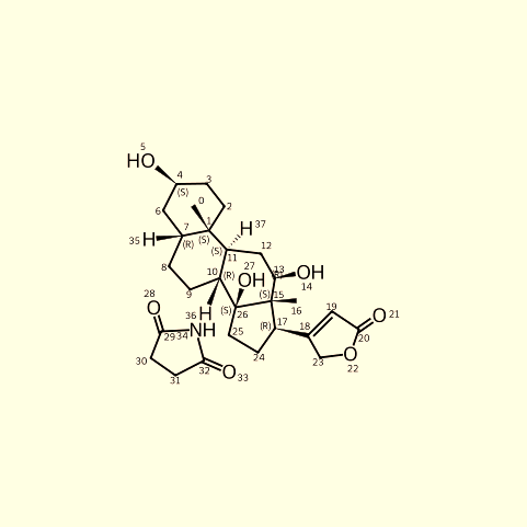 C[C@]12CC[C@H](O)C[C@H]1CC[C@@H]1[C@@H]2C[C@@H](O)[C@]2(C)[C@@H](C3=CC(=O)OC3)CC[C@]12O.O=C1CCC(=O)N1